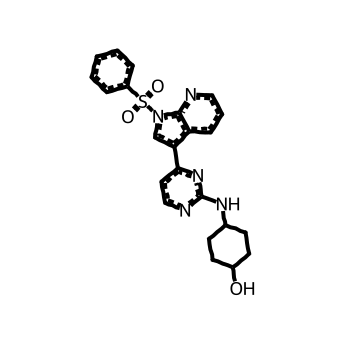 O=S(=O)(c1ccccc1)n1cc(-c2ccnc(NC3CCC(O)CC3)n2)c2cccnc21